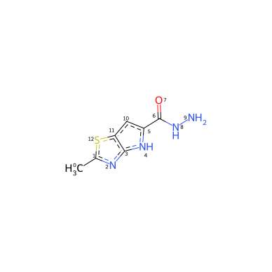 Cc1nc2[nH]c(C(=O)NN)cc2s1